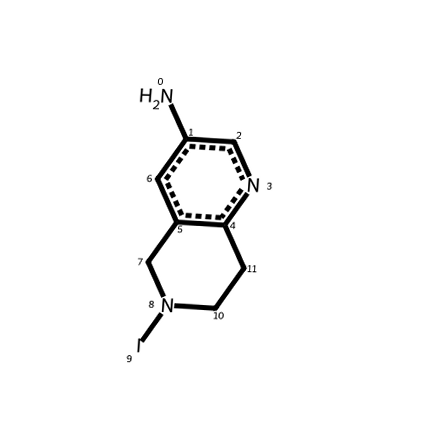 Nc1cnc2c(c1)CN(I)CC2